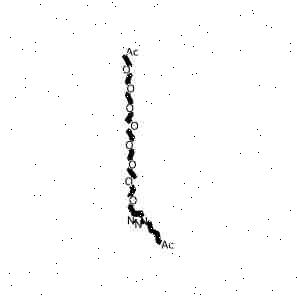 CC(=O)CCCCn1cc(COCCOCCOCCOCCOCCOCCOCCOCCC(C)=O)nn1